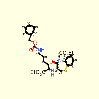 CCOC(=O)CN1C(=O)[C@@H](NC(CCCCNC(=O)OCc2ccccc2)C(=O)OCC)CSc2ccccc21